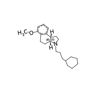 COc1cccc2c1CC[C@@H]1[C@H]2CCN1CCCC1CCCCC1